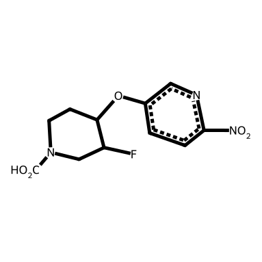 O=C(O)N1CCC(Oc2ccc([N+](=O)[O-])nc2)C(F)C1